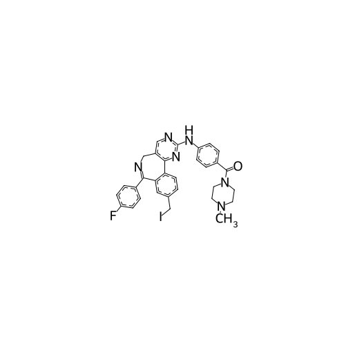 CN1CCN(C(=O)c2ccc(Nc3ncc4c(n3)-c3ccc(CI)cc3C(c3ccc(F)cc3)=NC4)cc2)CC1